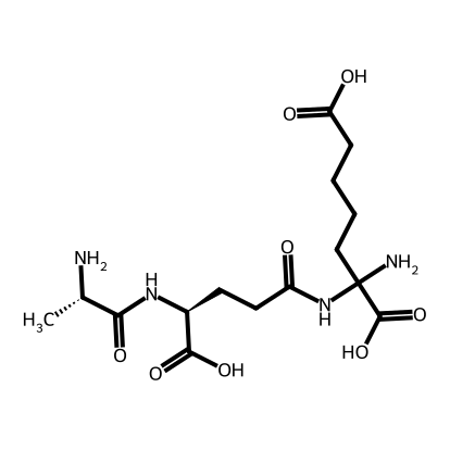 C[C@H](N)C(=O)N[C@@H](CCC(=O)NC(N)(CCCCC(=O)O)C(=O)O)C(=O)O